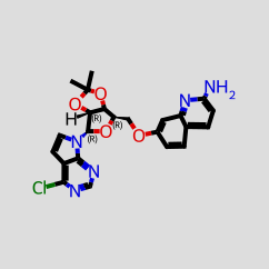 CC1(C)OC2[C@@H](O1)[C@H](n1ccc3c(Cl)ncnc31)O[C@@H]2COc1ccc2ccc(N)nc2c1